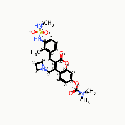 CNS(=O)(=O)Nc1cccc(Cc2c(CN3CCC3)c3ccc(OC(=O)N(C)C)cc3oc2=O)c1C